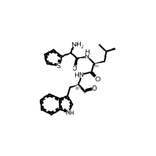 CC(C)C[C@H](NC(=O)C(N)c1cccs1)C(=O)N[C@@H]([C]=O)Cc1c[nH]c2ccccc12